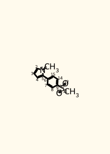 Cn1cccc1-c1ccc(S(C)(=O)=O)cc1